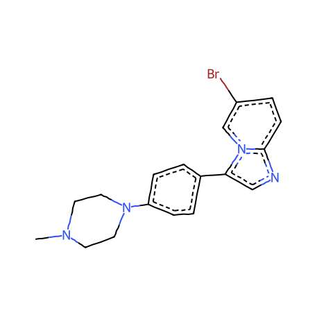 CN1CCN(c2ccc(-c3cnc4ccc(Br)cn34)cc2)CC1